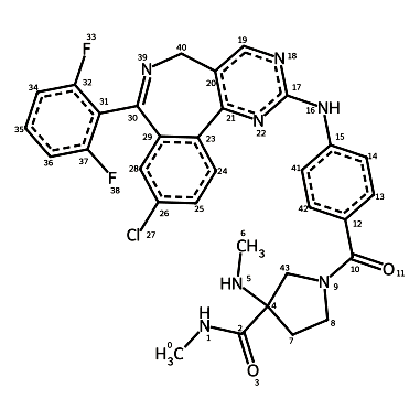 CNC(=O)C1(NC)CCN(C(=O)c2ccc(Nc3ncc4c(n3)-c3ccc(Cl)cc3C(c3c(F)cccc3F)=NC4)cc2)C1